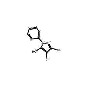 CC(=O)c1c(C(C)(C)C)nn(-c2ccccc2)c1O